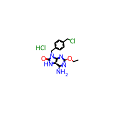 CCOc1nc(N)c2[nH]c(=O)n(Cc3ccc(CCl)cc3)c2n1.Cl